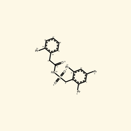 CC(C)c1cc(C(C)C)c(CS(=O)(=O)NC(=O)Cc2ccccc2C(C)C)c(C(C)C)c1